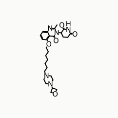 Cc1nc2cccc(OCCCCCCCN3CCN(C4COC4)CC3)c2c(=O)n1C1CCC(=O)NC1=O